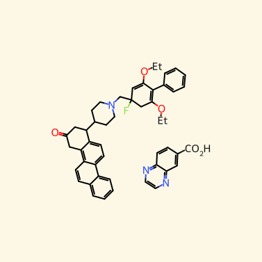 CCOC1=CC(F)(CN2CCC(C3CC(=O)Cc4c3ccc3c4ccc4ccccc43)CC2)CC(OCC)=C1c1ccccc1.O=C(O)c1ccc2nccnc2c1